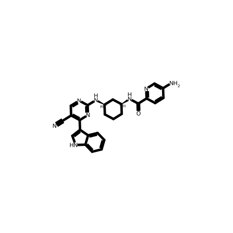 N#Cc1cnc(N[C@@H]2CCC[C@H](NC(=O)c3ccc(N)cn3)C2)nc1-c1c[nH]c2ccccc12